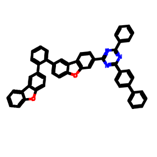 c1ccc(-c2ccc(-c3nc(-c4ccccc4)nc(-c4ccc5c(c4)oc4ccc(-c6ccccc6-c6ccc7oc8ccccc8c7c6)cc45)n3)cc2)cc1